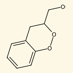 [O]CC1Cc2ccccc2OO1